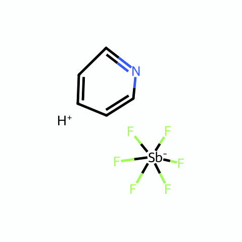 [F][Sb-]([F])([F])([F])([F])[F].[H+].c1ccncc1